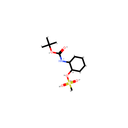 CC(C)(C)OC(=O)NC1CCCCC1OS(C)(=O)=O